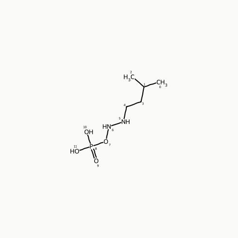 CC(C)CCNNOP(=O)(O)O